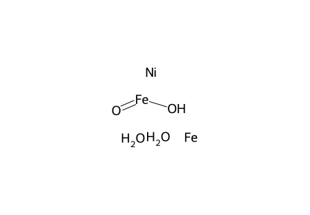 O.O.[Fe].[Ni].[O]=[Fe][OH]